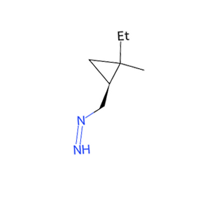 CCC1(C)C[C@@H]1CN=N